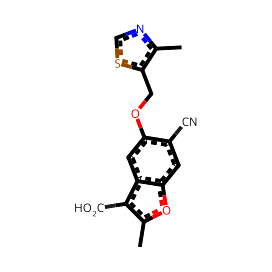 Cc1ncsc1COc1cc2c(C(=O)O)c(C)oc2cc1C#N